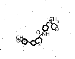 COc1ccc(-c2ccc3c(c2)C=C(C(=O)Nc2ccc(CN(C)C4CCOCC4)cc2)CCS3)cc1